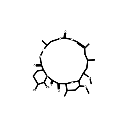 COC1CC(C)CC(C)=CCC(=O)CCC(C)COC(=O)C2CCC(O)C(O)N2C(=O)C(=O)C2OC1C(OC)CC2C